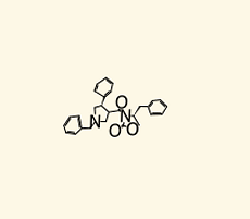 O=C1OC[C@H](Cc2ccccc2)N1C(=O)C1CN(Cc2ccccc2)C[C@H]1c1ccccc1